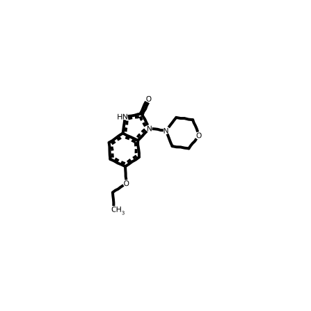 CCOc1ccc2[nH]c(=O)n(N3CCOCC3)c2c1